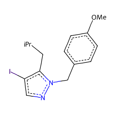 COc1ccc(Cn2ncc(I)c2CC(C)C)cc1